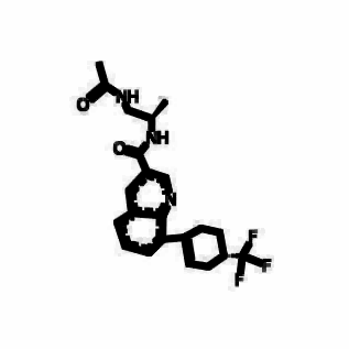 CC(=O)NC[C@@H](C)NC(=O)c1cnc2c(C3=CC[C@@H](C(F)(F)F)CC3)cccc2c1